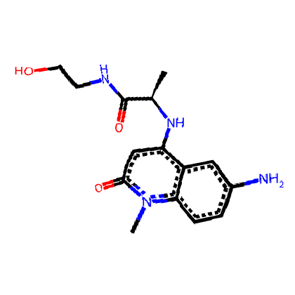 C[C@@H](Nc1cc(=O)n(C)c2ccc(N)cc12)C(=O)NCCO